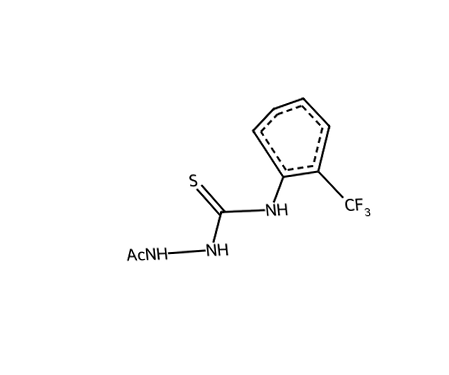 [CH2]C(=O)NNC(=S)Nc1ccccc1C(F)(F)F